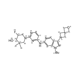 CCC(C)n1nc(N2CC3(COC3)C2)c2cnc(Nc3ccnc(N4CC(F)[C@@H](O)C(C)(C)C4)n3)cc21